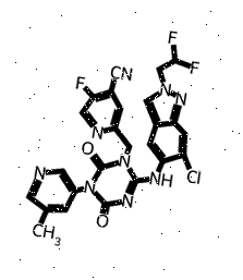 Cc1cncc(-n2c(=O)nc(Nc3cc4cn(CC(F)F)nc4cc3Cl)n(Cc3cc(C#N)c(F)cn3)c2=O)c1